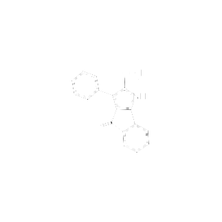 CCOC(=O)c1[nH]c2c(c1-c1ccccc1)C(=O)c1ccccc1-2